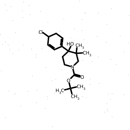 CC(C)(C)OC(=O)N1CCC(O)(C2=CCC(Cl)C=C2)C(C)(C)C1